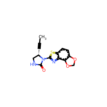 CC#C[C@H]1CNC(=O)N1c1nc2c3c(ccc2s1)OCO3